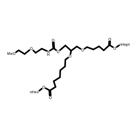 CCCCCCCOC(=O)CCCCOCC(COC(=O)NCCOCCOC)OCCCCCCC(=O)OCCCCCC